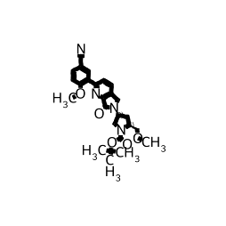 COC[C@@H]1C[C@@H](N2Cc3ccc(-c4cc(C#N)ccc4OC)nc3C2=O)CN1C(=O)OC(C)(C)C